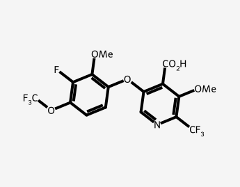 COc1c(Oc2cnc(C(F)(F)F)c(OC)c2C(=O)O)ccc(OC(F)(F)F)c1F